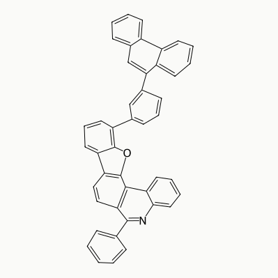 c1ccc(-c2nc3ccccc3c3c2ccc2c4cccc(-c5cccc(-c6cc7ccccc7c7ccccc67)c5)c4oc23)cc1